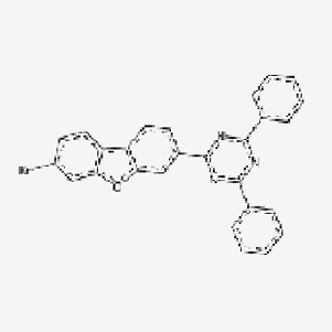 Brc1ccc2c(c1)oc1cc(-c3nc(-c4ccccc4)nc(-c4ccccc4)n3)ccc12